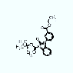 CCOC(=O)c1cccc(-n2c(=O)n(C(=O)OC(C)(C)C)c3ccccc32)c1